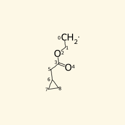 [CH2]COC(=O)CC1CC1